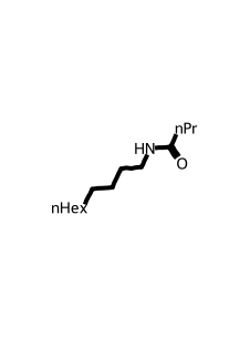 CCCCCCCCCCNC(=O)CCC